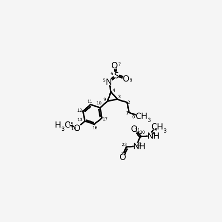 CCCC1C(N=S(=O)=O)C1c1ccc(OC)cc1.CNC(=O)NC=O